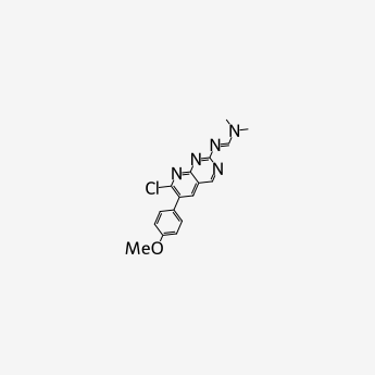 COc1ccc(-c2cc3cnc(N=CN(C)C)nc3nc2Cl)cc1